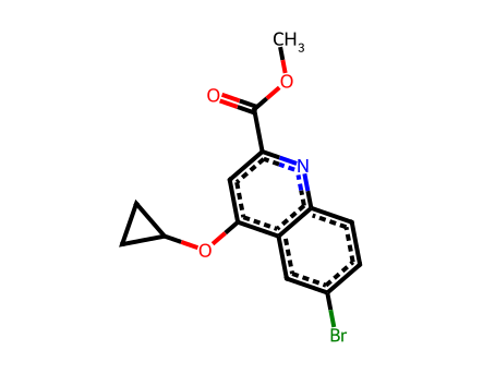 COC(=O)c1cc(OC2CC2)c2cc(Br)ccc2n1